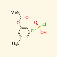 CNC(=O)Oc1cccc(C)c1.O=P(O)(Cl)Cl